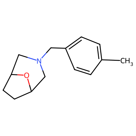 Cc1ccc(CN2CC3CCC(C2)O3)cc1